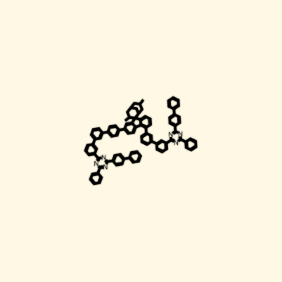 CC1CC2CC(C)C3(c4cc(-c5ccc(-c6cccc(-c7cccc(-c8nc(-c9ccccc9)nc(-c9ccc(-c%10ccccc%10)cc9)n8)c7)c6)cc5)ccc4-c4c(-c5cccc(-c6cccc(-c7nc(-c8ccccc8)nc(-c8ccc(-c9ccccc9)cc8)n7)c6)c5)cccc43)C(C1)C2